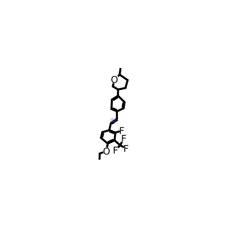 CCOc1ccc(/C=C/c2ccc(C3CCC(C)OC3)cc2)c(F)c1C(F)(F)F